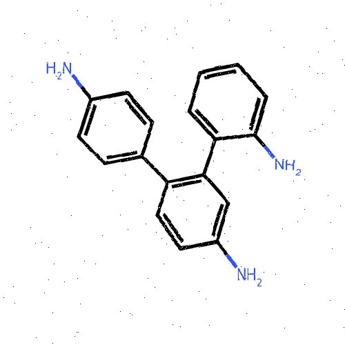 Nc1ccc(-c2ccc(N)cc2-c2ccccc2N)cc1